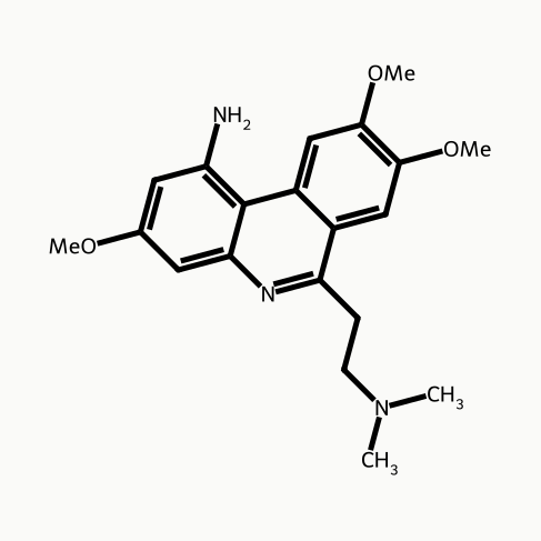 COc1cc(N)c2c(c1)nc(CCN(C)C)c1cc(OC)c(OC)cc12